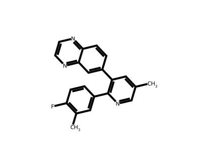 Cc1cnc(-c2ccc(F)c(C)c2)c(-c2ccc3nccnc3c2)c1